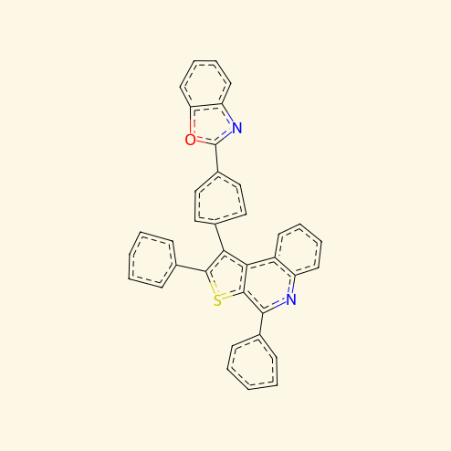 c1ccc(-c2sc3c(-c4ccccc4)nc4ccccc4c3c2-c2ccc(-c3nc4ccccc4o3)cc2)cc1